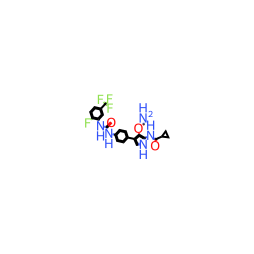 NCOc1c(-c2ccc(NC(=O)Nc3cc(C(F)(F)F)ccc3F)cc2)c[nH]c1NC(=O)C1CC1